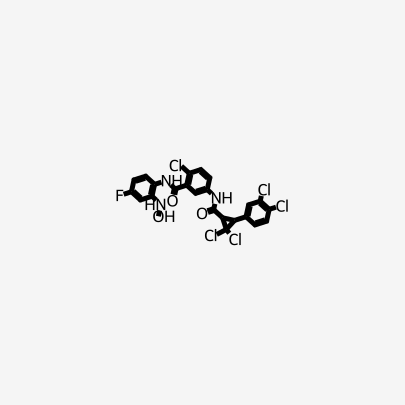 O=C(Nc1ccc(F)cc1NO)c1cc(NC(=O)C2C(c3ccc(Cl)c(Cl)c3)C2(Cl)Cl)ccc1Cl